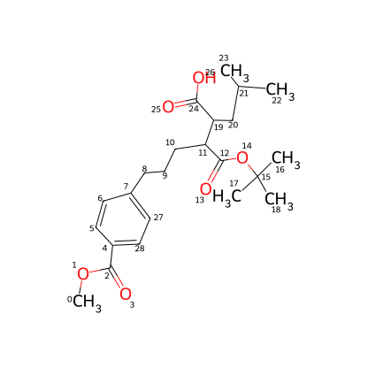 COC(=O)c1ccc(CCCC(C(=O)OC(C)(C)C)C(CC(C)C)C(=O)O)cc1